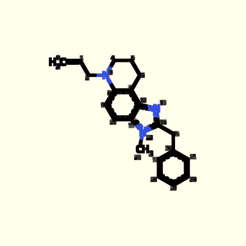 C=CCN1CCCc2c1ccc1c2nc(Cc2ccccc2)n1C